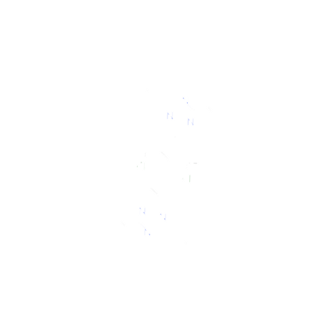 FC(F)(F)c1cc(-c2nc(-c3ccccc3)nc(-c3ccccc3)n2)cc(C(F)(F)F)c1-c1c(Cl)cc(-c2nc(-c3ccccc3)nc(-c3ccccc3)n2)cc1Cl